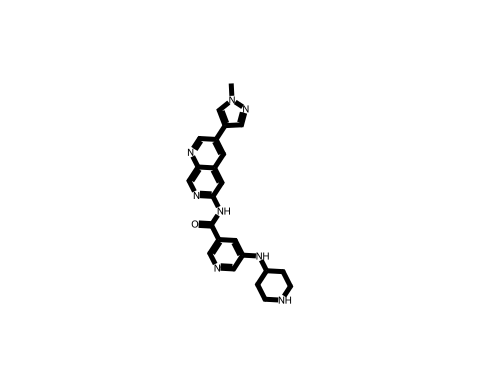 Cn1cc(-c2cnc3cnc(NC(=O)c4cncc(NC5CCNCC5)c4)cc3c2)cn1